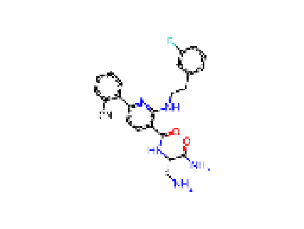 N#Cc1ccccc1-c1ccc(C(=O)N[C@@H](CN)C(N)=O)c(NCCc2cccc(F)c2)n1